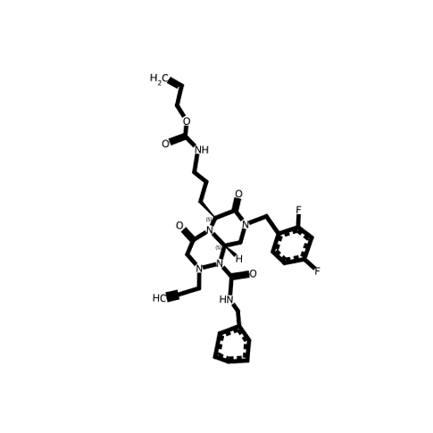 C#CCN1CC(=O)N2[C@@H](CCCNC(=O)OCC=C)C(=O)N(Cc3ccc(F)cc3F)C[C@@H]2N1C(=O)NCc1ccccc1